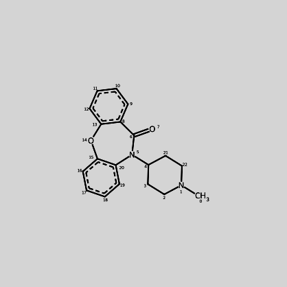 CN1CCC(N2C(=O)c3ccccc3Oc3ccccc32)CC1